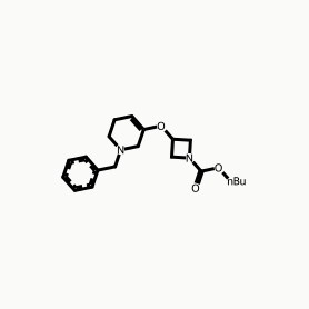 CCCCOC(=O)N1CC(OC2=CCCN(Cc3ccccc3)C2)C1